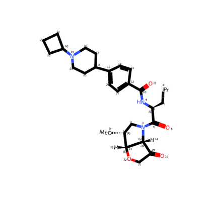 CO[C@@H]1CN(C(=O)[C@H](CC(C)C)NC(=O)c2ccc(C3CCN(C4CCC4)CC3)cc2)[C@@H]2C(=O)CO[C@@H]21